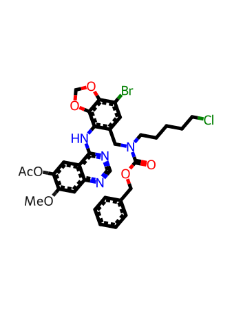 COc1cc2ncnc(Nc3c(CN(CCCCCCl)C(=O)OCc4ccccc4)cc(Br)c4c3OCO4)c2cc1OC(C)=O